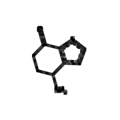 NC1CCC(=O)c2sccc21